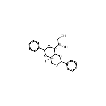 OC[C@H](O)[C@@H]1OC(c2ccccc2)O[C@@H]2COC(c3ccccc3)OC12